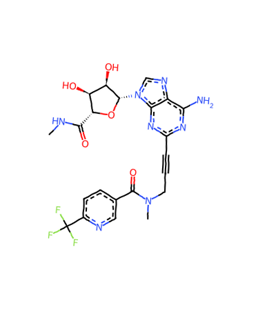 CNC(=O)[C@H]1O[C@@H](n2cnc3c(N)nc(C#CCN(C)C(=O)c4ccc(C(F)(F)F)nc4)nc32)[C@H](O)[C@@H]1O